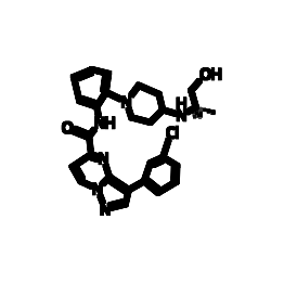 C[C@@H](CO)NC1CCN(c2ccccc2NC(=O)c2ccn3ncc(-c4cccc(Cl)c4)c3n2)CC1